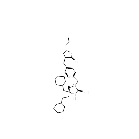 CCC[C@H]1CC(Cc2ccc(CN3C(=N)N[C@](CCC4CCCCC4)(CC4CCCCC4)C3=O)cc2)C(=O)N1